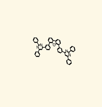 c1ccc(-c2cc(-c3cccc(-c4cccc5c4oc4c(-c6cccc(-c7cc(-c8ccccc8)nc(-c8ccccc8)n7)c6)cccc45)c3)nc(-c3ccccc3)n2)cc1